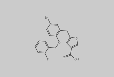 O=C(O)c1csc(Cc2cc(Br)ccc2OCc2ccccc2F)n1